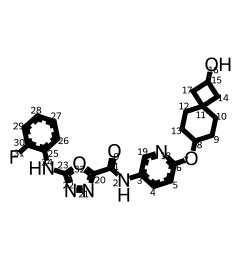 O=C(Nc1ccc(OC2CCC3(CC2)CC(O)C3)nc1)c1nnc(Nc2ccccc2F)o1